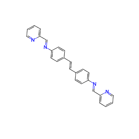 C(=C\c1ccc(/N=C/c2ccccn2)cc1)/c1ccc(/N=C/c2ccccn2)cc1